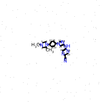 C[C@H]1CN(C)CCN1c1ccc(-n2cnc(Nc3cnc(C#N)cn3)c2)cc1